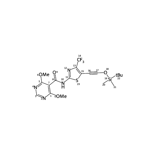 COc1ncnc(OC)c1C(=O)Nc1nc(C(F)(F)F)c(C#CO[Si](C)(C)C(C)(C)C)s1